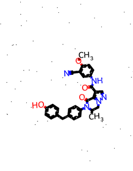 COc1ccc(NC(=O)c2cnn3c2C(=O)N(c2ccc(Cc4ccc(O)cc4)cc2)C(C)C3)cc1C#N